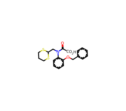 O=C(O)C(=O)N(CC1SCCCS1)c1ccccc1OCc1ccccc1